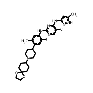 Cc1cc(Nc2nc(Nc3cc(C)c(C4CCN(C5CCC6(CC5)OCCO6)CC4)cc3F)ncc2Cl)n[nH]1